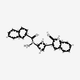 NN(C(=O)c1ccc2ccccc2c1)c1nc(-c2cc3ccccc3oc2=O)cs1